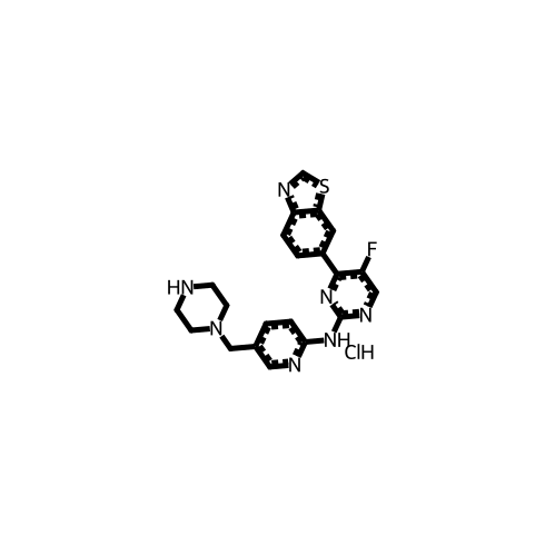 Cl.Fc1cnc(Nc2ccc(CN3CCNCC3)cn2)nc1-c1ccc2ncsc2c1